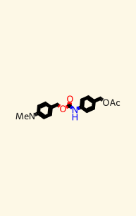 CNc1ccc(COC(=O)Nc2ccc(COC(C)=O)cc2)cc1